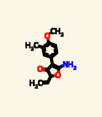 C=CC1OC(N)=C(c2ccc(OC)c(C)c2)C1=O